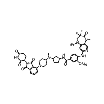 COc1cc(C(=O)NC2CCC(N(C)C3CCN(c4cccc5c4C(=O)N(C4CCC(=O)NC4=O)C5=O)CC3)C2)ccc1Nc1ncc2c(n1)N(C(C)C)CC(F)(F)C(=O)N2C